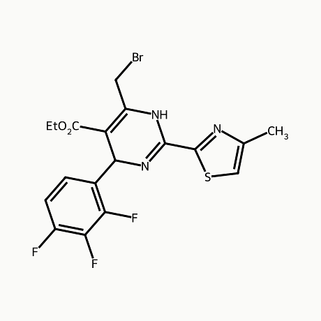 CCOC(=O)C1=C(CBr)NC(c2nc(C)cs2)=NC1c1ccc(F)c(F)c1F